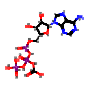 Nc1ncnc2c1ncn2[C@@H]1O[C@H](CO[PH](=O)OP(=O)(OC(=O)O)OP(=O)(O)O)[C@@H](O)[C@H]1O